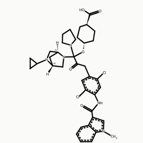 Cn1cc(C(=O)Nc2cc(Cl)c(CC(=O)C(O[C@H]3CC[C@H](C(=O)O)CC3)(N3CCCC3)N3C[C@H]4C[C@H]3CN4C3CC3)cc2Cl)c2ccccc21